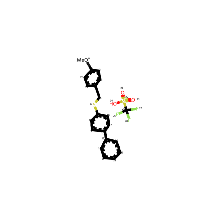 COc1ccc(CSc2ccc(-c3ccccc3)cc2)cc1.O=S(=O)(O)C(F)(F)F